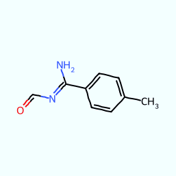 Cc1ccc(C(N)=NC=O)cc1